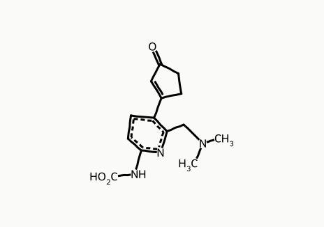 CN(C)Cc1nc(NC(=O)O)ccc1C1=CC(=O)CC1